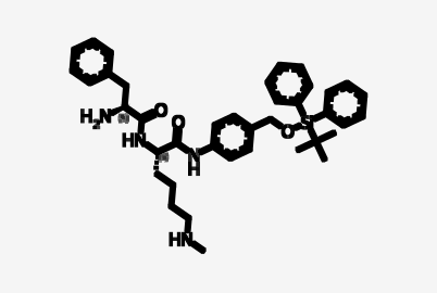 CNCCCC[C@H](NC(=O)[C@@H](N)Cc1ccccc1)C(=O)Nc1ccc(CO[Si](c2ccccc2)(c2ccccc2)C(C)(C)C)cc1